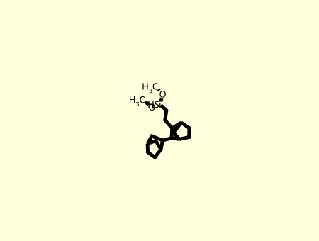 CO[SiH](CCC1C2CCC(C2)C1C1CC2CCC1C2)OC